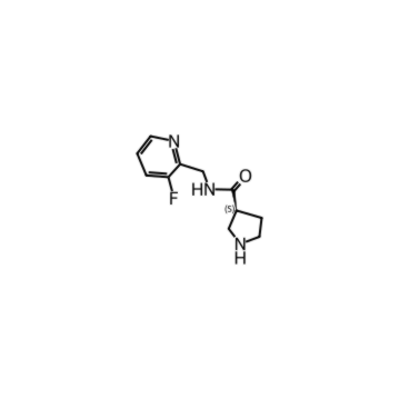 O=C(NCc1ncccc1F)[C@H]1CCNC1